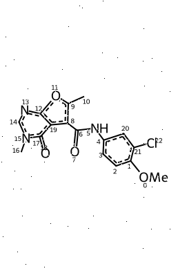 COc1ccc(NC(=O)c2c(C)oc3ncn(C)c(=O)c23)cc1Cl